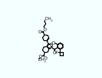 CCCCOC(=O)C1CC=C(c2nn(C(=O)c3c(Cl)cccc3C3(F)CCC3)c3c2CCC(C(=O)OC)C3)CC1